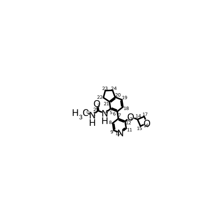 CNC(=O)Nc1c(-c2ccncc2OC2COC2)ccc2c1CCC2